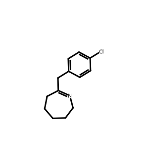 Clc1ccc(CC2=NCCCCC2)cc1